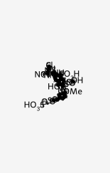 COc1ccc(COOSCOS(=O)(=O)O)cc1N=Nc1c(SOOO)cc2c(S(=O)(=O)O)c(Nc3nc(Cl)nc(NC#N)n3)ccc2c1O